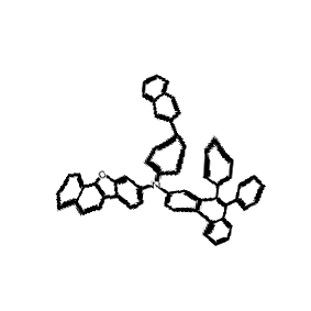 c1ccc(-c2c(-c3ccccc3)c3cc(N(c4ccc(-c5ccc6ccccc6c5)cc4)c4ccc5c(c4)oc4c6ccccc6ccc54)ccc3c3ccccc23)cc1